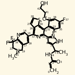 C=CC(=O)NC(C)c1cc(-c2nc(-c3cnc4c(c3)CN(C)CC4(F)F)c3ccsc3c2-c2c(F)cc(F)cc2OCCO)n[nH]1